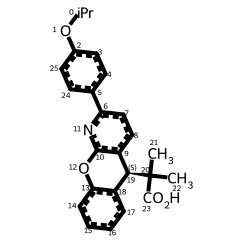 CC(C)Oc1ccc(-c2ccc3c(n2)Oc2ccccc2[C@@H]3C(C)(C)C(=O)O)cc1